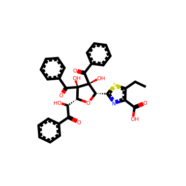 CCc1sc([C@@H]2O[C@H](C(O)C(=O)c3ccccc3)[C@](O)(C(=O)c3ccccc3)[C@]2(O)C(=O)c2ccccc2)nc1C(=O)O